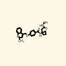 Cc1cc(COc2ccc(C(=O)NC3(CC(=O)NO)CCC3)cc2)c2ccccc2n1